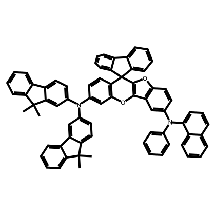 CC1(C)c2ccccc2-c2cc(N(c3ccc4c(c3)Oc3c(oc5ccc(N(c6ccccc6)c6cccc7ccccc67)cc35)C43c4ccccc4-c4ccccc43)c3ccc4c(c3)C(C)(C)c3ccccc3-4)ccc21